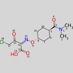 CN(C)C(=O)[C@H]1CC[C@H](O/N=C(\C(=O)O)C(=O)CCl)CC1